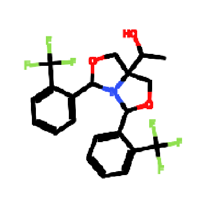 CC(O)C12COC(c3ccccc3C(F)(F)F)N1C(c1ccccc1C(F)(F)F)OC2